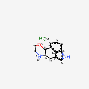 CN1CCOC2c3cccc4[nH]cc(c34)CC21.Cl